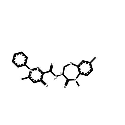 Cc1ccc2c(c1)OC[C@H](NC(=O)c1nn(-c3ccccc3)c(C)cc1=O)C(=O)N2C